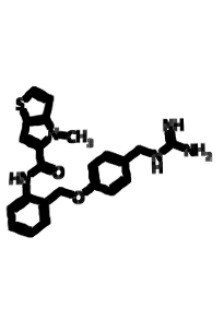 Cn1c(C(=O)Nc2ccccc2COc2ccc(CNC(=N)N)cc2)cc2sccc21